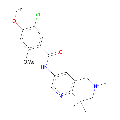 COc1cc(OC(C)C)c(Cl)cc1C(=O)Nc1cnc2c(c1)CN(C)CC2(C)C